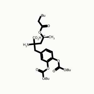 CCC(C)CC(=O)O[C@@H](C)CC(N)(Cc1ccc(OC(=O)OCC(C)C)c(OC(=O)OCC(C)C)c1)C(=O)O